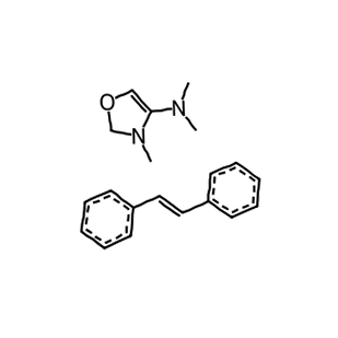 C(=Cc1ccccc1)c1ccccc1.CN(C)C1=COCN1C